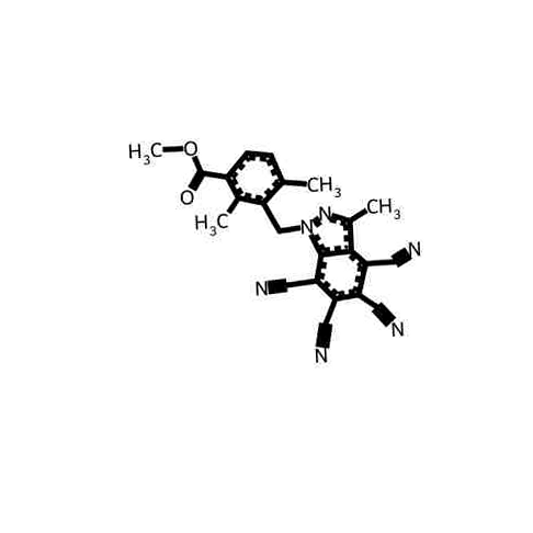 COC(=O)c1ccc(C)c(Cn2nc(C)c3c(C#N)c(C#N)c(C#N)c(C#N)c32)c1C